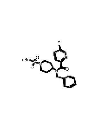 CCCCS(=O)(=O)N1CCC(N(Cc2ccccc2)C(=O)c2ccc(F)cn2)CC1